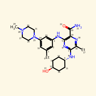 CCc1cc(Nc2nc(N[C@H]3CC[C@H](O)CC3)c(CC)nc2C(N)=O)cc(N2CCN(C)CC2)c1